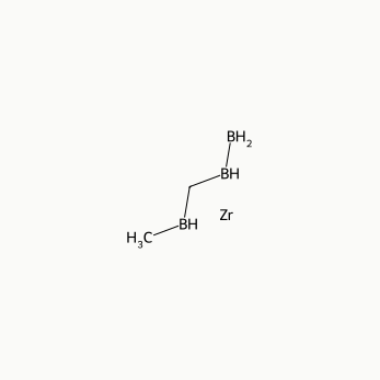 BBCBC.[Zr]